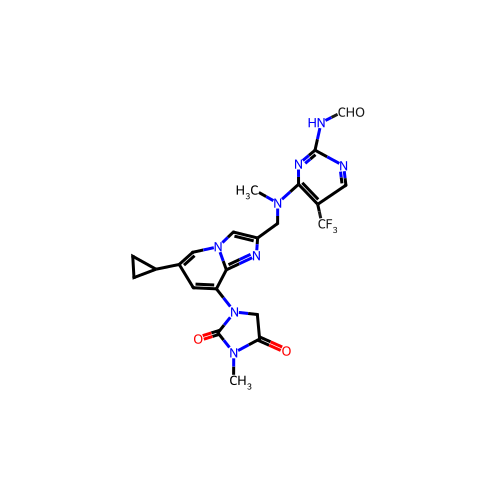 CN1C(=O)CN(c2cc(C3CC3)cn3cc(CN(C)c4nc(NC=O)ncc4C(F)(F)F)nc23)C1=O